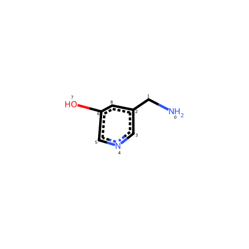 NCc1cncc(O)c1